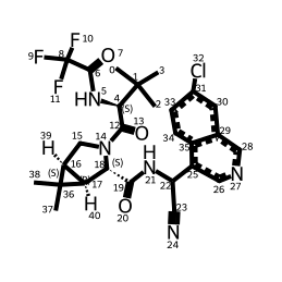 CC(C)(C)[C@H](NC(=O)C(F)(F)F)C(=O)N1C[C@H]2[C@@H]([C@H]1C(=O)NC(C#N)c1cncc3cc(Cl)ccc13)C2(C)C